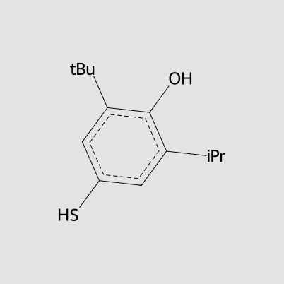 CC(C)c1cc(S)cc(C(C)(C)C)c1O